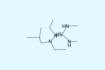 CCN(CC(C)C)N(CC)[SiH](NC)NC